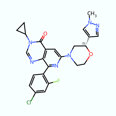 Cn1cc([C@H]2CN(c3cc4c(=O)n(C5CC5)cnc4c(-c4ccc(Cl)cc4F)n3)CCO2)cn1